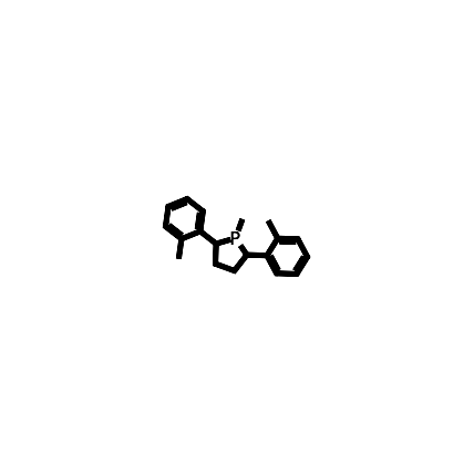 Cc1ccccc1C1CCC(c2ccccc2C)P1C